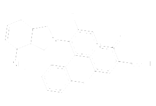 NC1C=CCC2CN(c3c(F)cn4c(=O)c(C(=O)O)cc5c4c3-c3ccccc3O5)CC12